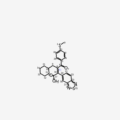 CSc1ccc(C(=O)/C(CC2CCCCC2)=C(/C(=O)O)c2ccc3nsnc3c2)cc1